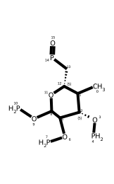 CC1[C@H](OP)C(OP)C(OP)O[C@@H]1CP=O